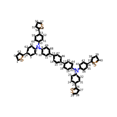 c1csc(-c2ccc(N(c3ccc(-c4ccc(-c5ccc(N(c6ccc(-c7cccs7)cc6)c6ccc(-c7cccs7)cc6)cc5)cc4)cc3)c3ccc(-c4cccs4)cc3)cc2)c1